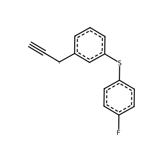 C#C[CH]c1cccc(Sc2ccc(F)cc2)c1